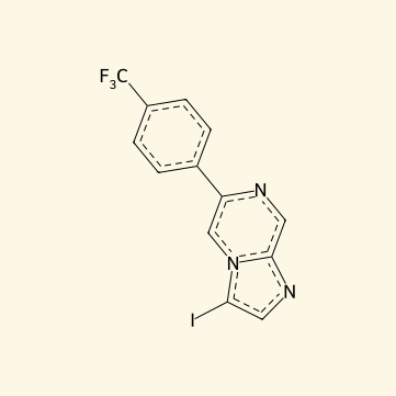 FC(F)(F)c1ccc(-c2cn3c(I)cnc3cn2)cc1